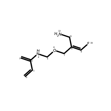 C=CC(=C)NCOC/C(=C/F)CN